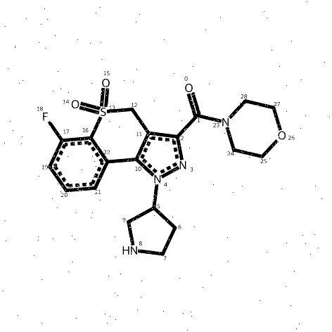 O=C(c1nn(C2CCNC2)c2c1CS(=O)(=O)c1c(F)cccc1-2)N1CCOCC1